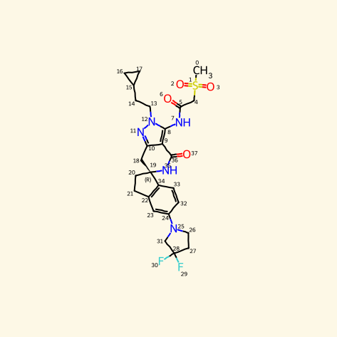 CS(=O)(=O)CC(=O)Nc1c2c(nn1CCC1CC1)C[C@@]1(CCc3cc(N4CCC(F)(F)C4)ccc31)NC2=O